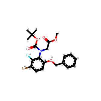 COC(=O)CN(C(=O)OC(C)(C)C)c1c(OCc2ccccc2)ccc(Br)c1F